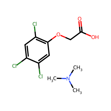 CN(C)C.O=C(O)COc1cc(Cl)c(Cl)cc1Cl